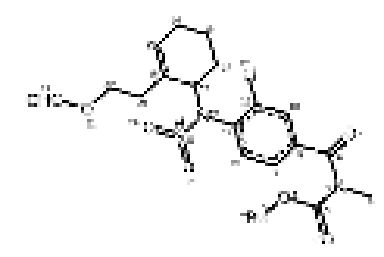 CN(C(=O)OC(C)(C)C)C(=O)c1ccc(N(C2CCCC=C2CCOC=O)[SH](=O)=O)c(Cl)c1